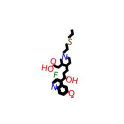 CCCSCCCN1CCC(CC[C@@H](O)c2c(F)cnc3ccc(OC)cc23)C(CC(=O)O)C1